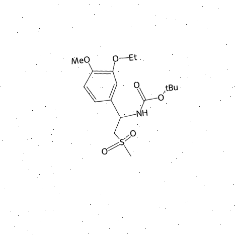 CCOc1cc(C(CS(C)(=O)=O)NC(=O)OC(C)(C)C)ccc1OC